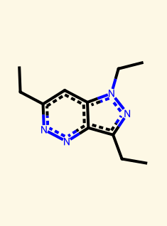 CCc1cc2c(nn1)c(CC)nn2CC